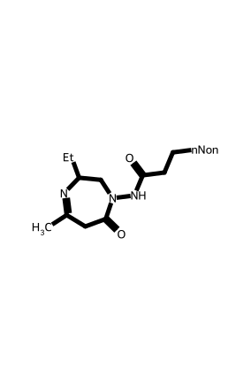 CCCCCCCCCCCC(=O)NN1CC(CC)N=C(C)CC1=O